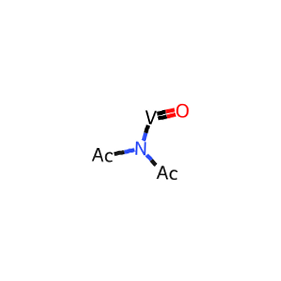 CC(=O)[N]([V]=[O])C(C)=O